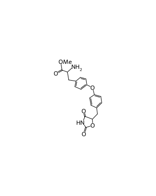 COC(=O)C(N)Cc1ccc(Oc2ccc(CC3OC(=O)NC3=O)cc2)cc1